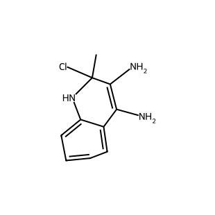 CC1(Cl)Nc2ccccc2C(N)=C1N